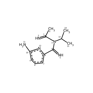 CC(=N)N(C(=N)c1cccc(N)n1)C(C)C